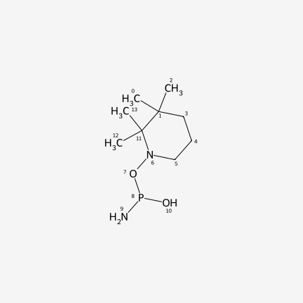 CC1(C)CCCN(OP(N)O)C1(C)C